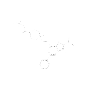 Cc1c(C(N)=O)nc2c(NCC3(F)CCN(C(=O)OC(C)(C)C)CC3)nc(-c3ccncc3)cn12